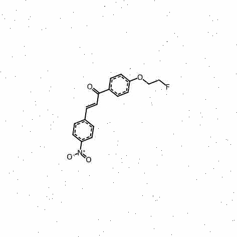 O=C(C=Cc1ccc([N+](=O)[O-])cc1)c1ccc(OCCF)cc1